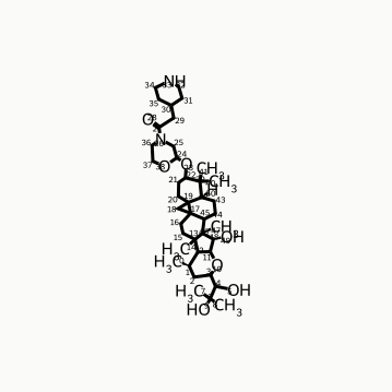 C[C@@H]1CC(C(O)C(C)(C)O)OC2C1C1(C)CCC34CC35CCC(OC3CN(C(=O)CC6CCNCC6)CCO3)C(C)(C)[C@@H]5CCC4[C@]1(C)[C@H]2O